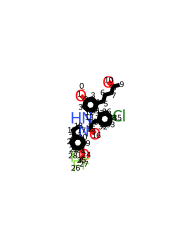 COc1cc(CCCC(C)=O)cc(NC(C(=O)N2CCc3ccc(OC(F)(F)F)cc32)c2ccc(Cl)cc2)c1